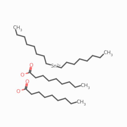 CCCCCCCCC(=O)[O-].CCCCCCCCC(=O)[O-].CCCCCCC[CH2][Sn+2][CH2]CCCCCCC